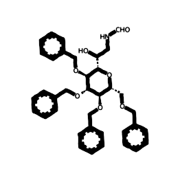 O=CNCC(O)[C@@H]1O[C@H](COCc2ccccc2)[C@@H](OCc2ccccc2)[C@H](OCc2ccccc2)[C@H]1OCc1ccccc1